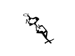 CC(C)(C)C1C2CN(c3ccc(Cl)nc3)CC21